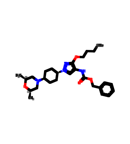 COCCCOc1nn([C@H]2CC[C@H](N3C[C@@H](C)O[C@@H](C)C3)CC2)cc1NC(=O)OCc1ccccc1